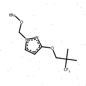 CC(C)(C)OCn1ccc(OCC(C)(C)C(F)(F)F)n1